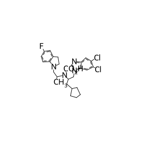 CC(CN1CCc2cc(F)ccc21)N(C(=O)O)C(CC1CCCC1)Cn1cnc2cc(Cl)c(Cl)cc21